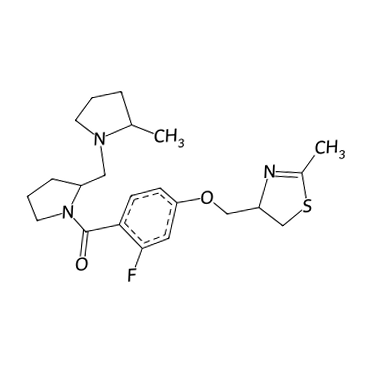 CC1=NC(COc2ccc(C(=O)N3CCCC3CN3CCCC3C)c(F)c2)CS1